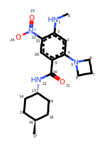 CNc1cc(N2CCC2)c(C(=O)N[C@H]2CC[C@H](C)CC2)cc1[N+](=O)[O-]